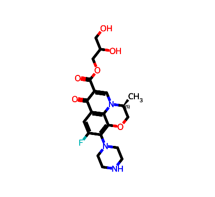 C[C@H]1COc2c(N3CCNCC3)c(F)cc3c(=O)c(C(=O)OCC(O)CO)cn1c23